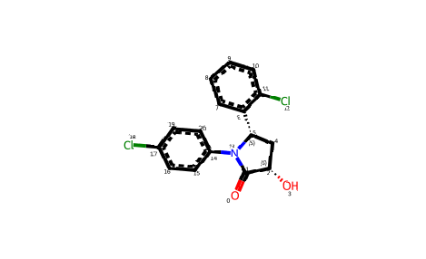 O=C1[C@@H](O)C[C@@H](c2ccccc2Cl)N1c1ccc(Cl)cc1